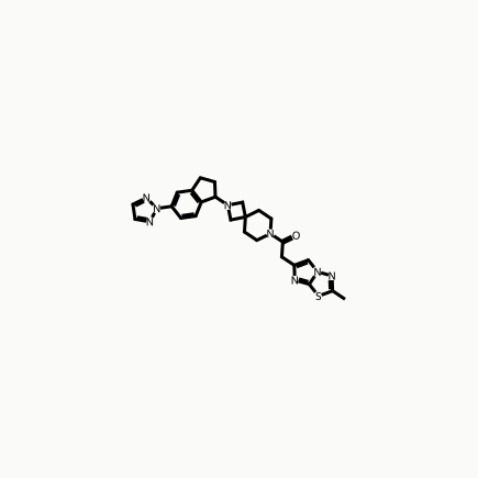 Cc1nn2cc(CC(=O)N3CCC4(CC3)CN(C3CCc5cc(-n6nccn6)ccc53)C4)nc2s1